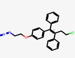 [N-]=[N+]=NCCOc1ccc(/C(=C(/CCCl)c2ccccc2)c2ccccc2)cc1